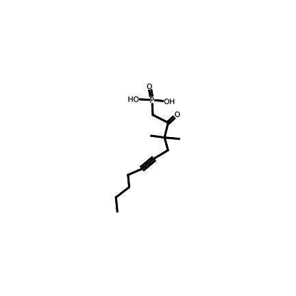 CCCCC#CCC(C)(C)C(=O)CP(=O)(O)O